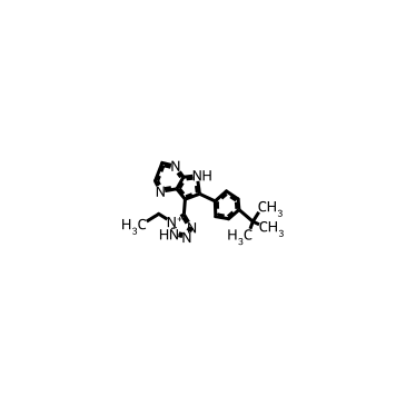 CC[n+]1[nH]nnc1-c1c(-c2ccc(C(C)(C)C)cc2)[nH]c2nccnc12